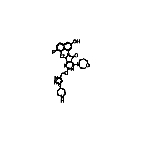 CCc1c(F)ccc2cc(O)cc(N3Cc4nc(OCc5cn(C6CCNCC6)nn5)nc(N5CCCOCC5)c4C3=O)c12